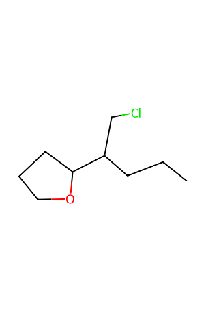 CCCC(CCl)C1CCCO1